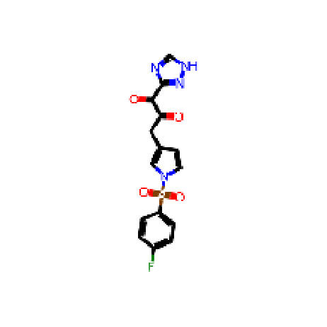 O=C(Cc1ccn(S(=O)(=O)c2ccc(F)cc2)c1)C(=O)c1nc[nH]n1